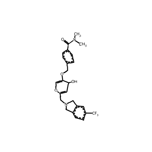 CN(C)C(=O)c1ccc(COC2=COC(CN3Cc4ccc(C(F)(F)F)cc4C3)=CC2O)cc1